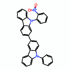 O=[N+]([O-])c1ccccc1-n1c2ccccc2c2ccc(-c3ccc4c(c3)c3ccccc3n4-c3ccccc3)cc21